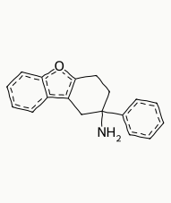 NC1(c2ccccc2)CCc2oc3ccccc3c2C1